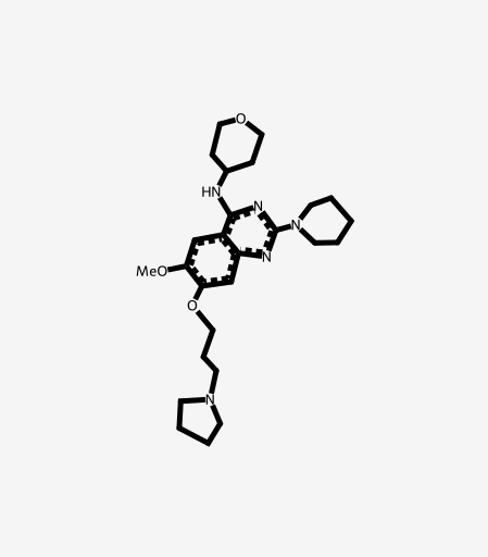 COc1cc2c(NC3CCOCC3)nc(N3CCCCC3)nc2cc1OCCCN1CCCC1